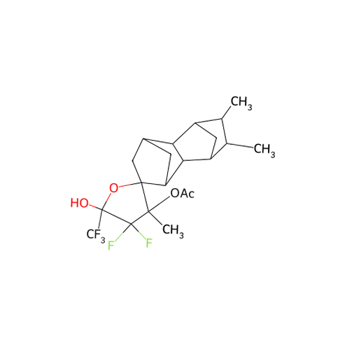 CC(=O)OC1(C)C2(CC3CC2C2C4CC(C(C)C4C)C32)OC(O)(C(F)(F)F)C1(F)F